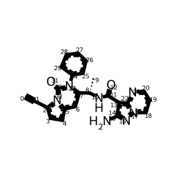 C#Cc1ccc2cc([C@H](C)NC(=O)c3c(N)nn4cccnc34)n(-c3ccccc3)c(=O)n12